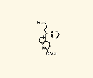 CNCCC(c1ccccc1)n1ccc2nc(OC)ccc21